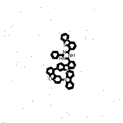 C1=CC(n2c3ccccc3c3ccccc32)Cc2c1oc1cccc(-c3ccc4c(c3)sc3cccc(C5NC(c6ccccc6)=NC(c6cccc7c6sc6ccccc67)N5)c34)c21